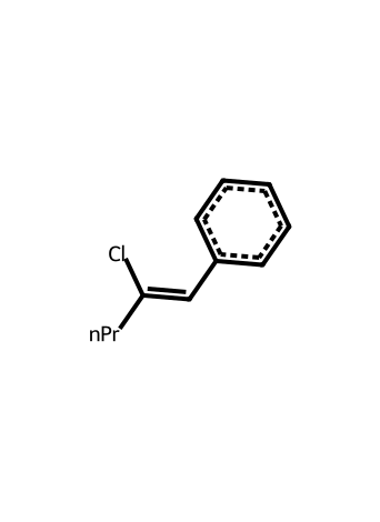 CCCC(Cl)=Cc1ccccc1